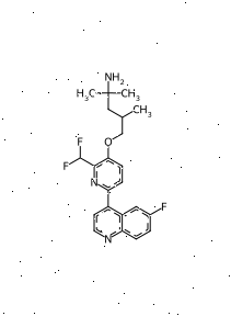 CC(COc1ccc(-c2ccnc3ccc(F)cc23)nc1C(F)F)CC(C)(C)N